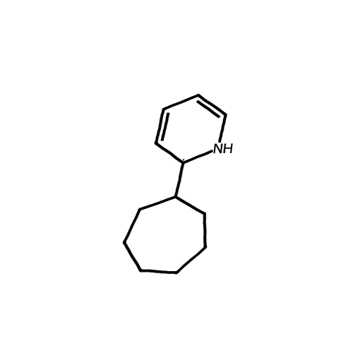 C1=CN[C](C2CCCCCC2)C=C1